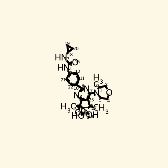 CC1COCCN1c1nc(-c2ccc(NC(=O)NC3CC3)cc2)nc2c1C(C)S(O)(O)C2(C)C